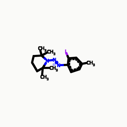 Cc1ccc(/N=N/N2C(C)(C)CCCC2(C)C)c(I)c1